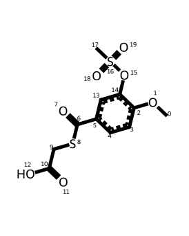 COc1ccc(C(=O)SCC(=O)O)cc1OS(C)(=O)=O